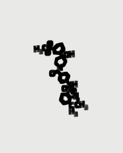 C/C=N\c1c(C)cccc1S(=O)(=O)Nc1ccc(C(=O)N2CCC(O)(c3cccc(S(C)(=O)=O)c3)CC2)cc1